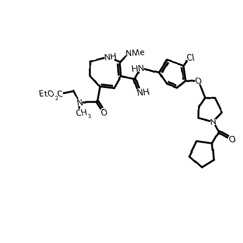 CCOC(=O)CN(C)C(=O)C1=CC(C(=N)Nc2ccc(OC3CCN(C(=O)C4CCCC4)CC3)c(Cl)c2)=C(NC)NCC1